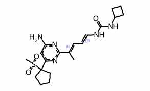 C/C(=C\C=C\NC(=O)NC1CCC1)c1nc(N)cc(C2(S(C)(=O)=O)CCCC2)n1